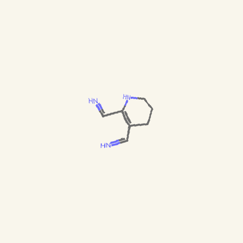 N=CC1=C(C=N)NCCC1